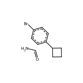 Brc1ccc(C2CCC2)cc1.NC=O